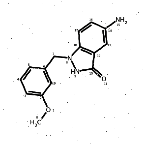 COc1cccc(Cn2[nH]c(=O)c3cc(N)ccc32)c1